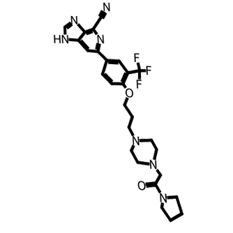 N#Cc1nc(-c2ccc(OCCCN3CCN(CC(=O)N4CCCC4)CC3)c(C(F)(F)F)c2)cc2[nH]cnc12